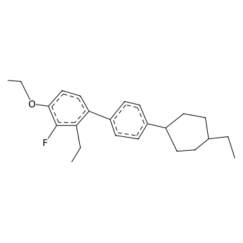 CCOc1ccc(-c2ccc(C3CCC(CC)CC3)cc2)c(CC)c1F